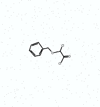 O=C(Cl)C(Cl)OCc1ccccc1